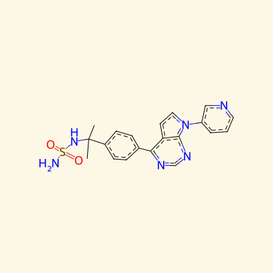 CC(C)(NS(N)(=O)=O)c1ccc(-c2ncnc3c2ccn3-c2cccnc2)cc1